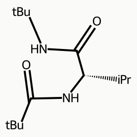 CC(C)[C@H](NC(=O)C(C)(C)C)C(=O)NC(C)(C)C